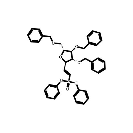 O=P(/C=C/[C@H]1O[C@H](COCc2ccccc2)[C@@H](OCc2ccccc2)[C@@H]1OCc1ccccc1)(Oc1ccccc1)Oc1ccccc1